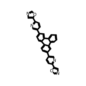 c1ccc2c(c1)c1cc(-c3ccc(-c4cnco4)nc3)ccc1c1ccc(-c3ccc(-c4cnco4)nc3)cc21